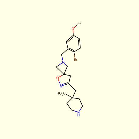 CCOc1ccc(Br)c(CN2CC3(CC(CC4(C(=O)O)CCNCC4)=NO3)C2)c1